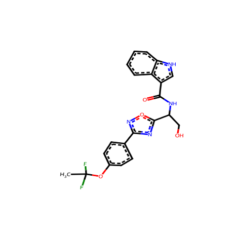 CC(F)(F)Oc1ccc(-c2noc(C(CO)NC(=O)c3c[nH]c4ccccc34)n2)cc1